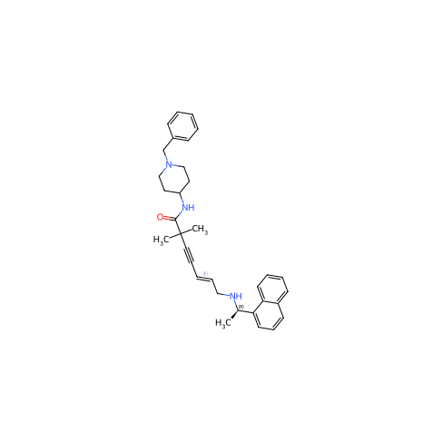 C[C@@H](NC/C=C/C#CC(C)(C)C(=O)NC1CCN(Cc2ccccc2)CC1)c1cccc2ccccc12